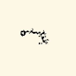 CC(C)(C)OC(=O)N[C@@H](CCC=CC(=O)OCc1ccccc1)C(=O)O